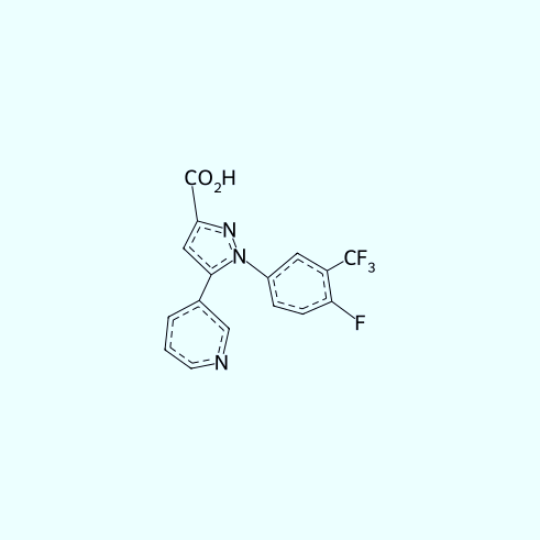 O=C(O)c1cc(-c2cccnc2)n(-c2ccc(F)c(C(F)(F)F)c2)n1